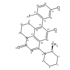 C[C@H]1CCCCN1c1nc(=O)n2c3c(c(-c4cc(Cl)ccc4F)c(Cl)cc13)SCC2